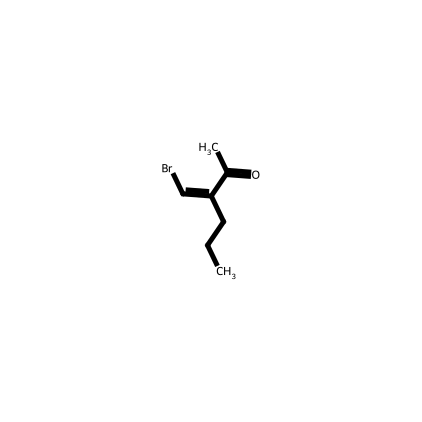 CCCC(=CBr)C(C)=O